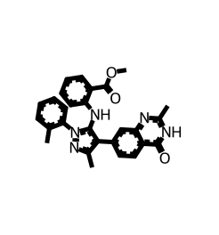 COC(=O)c1ccccc1Nc1c(-c2ccc3c(=O)[nH]c(C)nc3c2)c(C)nn1-c1ccccc1C